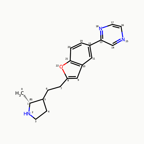 C[C@H]1NCCC1CCc1cc2cc(-c3cnccn3)ccc2o1